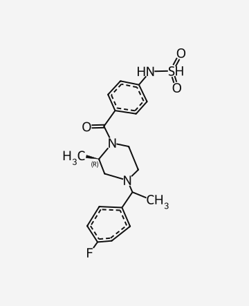 CC(c1ccc(F)cc1)N1CCN(C(=O)c2ccc(N[SH](=O)=O)cc2)[C@H](C)C1